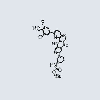 CC(=O)c1cnc2ccc(-c3cc(F)c(O)c(Cl)c3)nc2c1Nc1ccc(N2CCC[C@H](NC(=O)OC(C)(C)C)C2)nc1